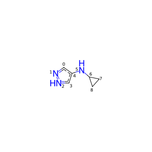 c1n[nH]cc1NC1CC1